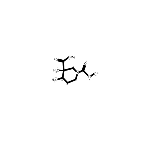 COC(=O)[C@]1(C)CN(C(=O)OC(C)(C)C)CCC1C